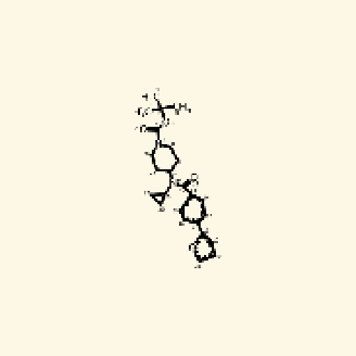 CC(C)(C)OC(=O)N1CCC(N(C(=O)c2ccc(-c3ccco3)cc2)C2CC2)CC1